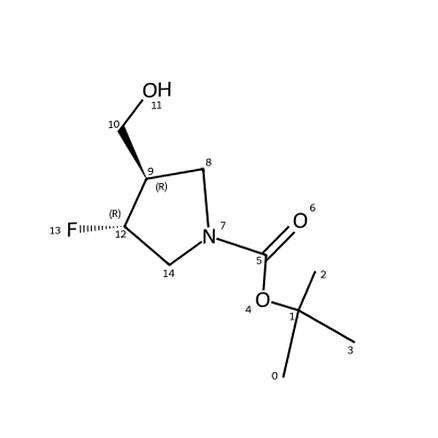 CC(C)(C)OC(=O)N1C[C@H](CO)[C@@H](F)C1